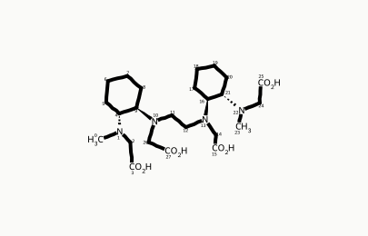 CN(CC(=O)O)[C@@H]1CCCC[C@H]1N(CCN(CC(=O)O)[C@H]1CCCC[C@@H]1N(C)CC(=O)O)CC(=O)O